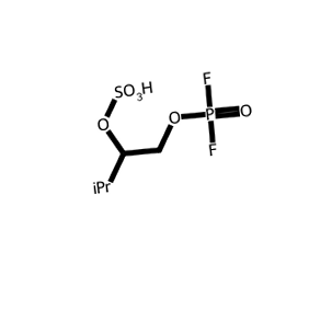 CC(C)C(COP(=O)(F)F)OS(=O)(=O)O